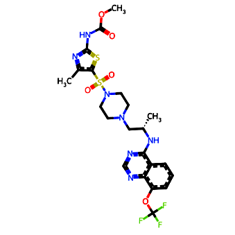 COC(=O)Nc1nc(C)c(S(=O)(=O)N2CCN(C[C@H](C)Nc3ncnc4c(OC(F)(F)F)cccc34)CC2)s1